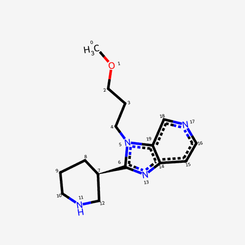 COCCCn1c([C@@H]2CCCNC2)nc2ccncc21